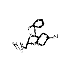 CCc1ccc2c(c1)C(c1ccccc1F)=NCC(CN)N2